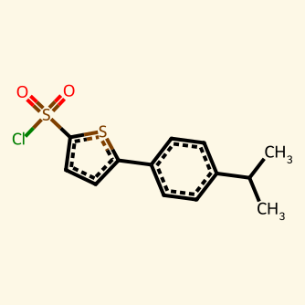 CC(C)c1ccc(-c2ccc(S(=O)(=O)Cl)s2)cc1